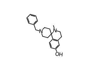 CN1CCc2cc(O)ccc2C12CCN(Cc1ccccc1)CC2